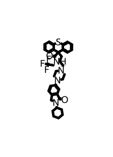 O=C1c2cc(N3CCN(CCCC4(C(=O)NCC(F)(F)F)c5ccccc5Sc5ccccc54)CC3)ccc2CN1C1CCCCC1